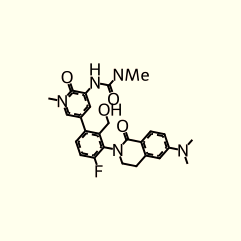 CNC(=O)Nc1cc(-c2ccc(F)c(N3CCc4cc(N(C)C)ccc4C3=O)c2CO)cn(C)c1=O